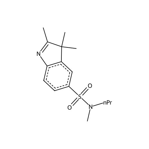 CCCN(C)S(=O)(=O)c1ccc2c(c1)C(C)(C)C(C)=N2